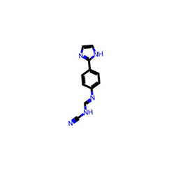 N#CNC=Nc1ccc(-c2ncc[nH]2)cc1